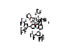 C[SiH](CCC(F)(F)F)[Zr]([Cl])([Cl])([CH]1C(CC2CCCCC2)=Cc2c(-c3cc(C(F)(F)F)cc(C(F)(F)F)c3)cccc21)[CH]1C(CC2CCCCC2)=Cc2c(-c3cc(C(F)(F)F)cc(C(F)(F)F)c3)cccc21